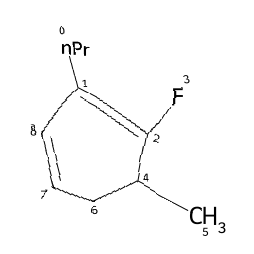 CCCC1=C(F)C(C)CC=C1